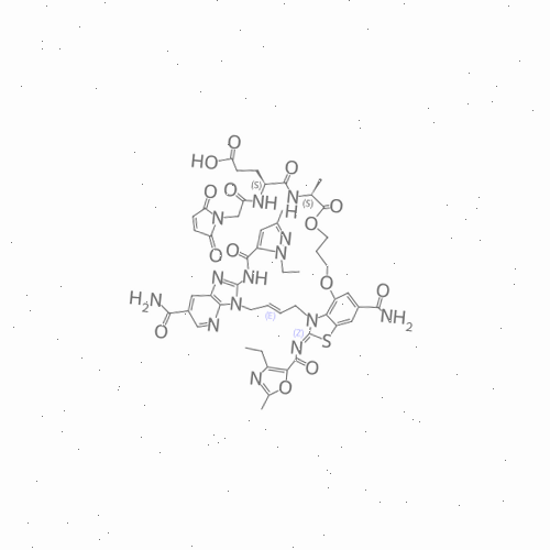 CCc1nc(C)oc1C(=O)/N=c1\sc2cc(C(N)=O)cc(OCCCOC(=O)[C@H](C)NC(=O)[C@H](CCC(=O)O)NC(=O)CN3C(=O)C=CC3=O)c2n1C/C=C/Cn1c(NC(=O)c2cc(C)nn2CC)nc2cc(C(N)=O)cnc21